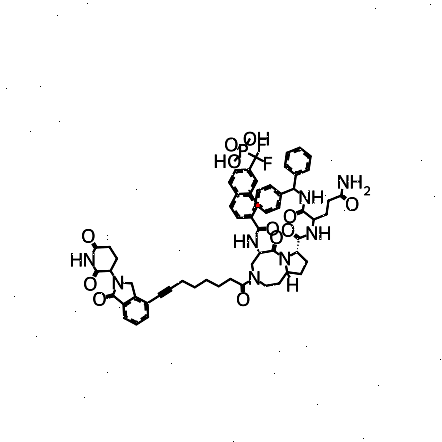 NC(=O)CCC(NC(=O)[C@@H]1CC[C@@H]2CCN(C(=O)CCCCCC#Cc3cccc4c3CN(C3CCC(=O)NC3=O)C4=O)C[C@H](NC(=O)c3ccc4ccc(C(F)(F)P(=O)(O)O)cc4c3)C(=O)N21)C(=O)NC(c1ccccc1)c1ccccc1